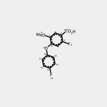 COc1cc(C(=O)O)c(F)cc1Oc1ccc(F)cc1